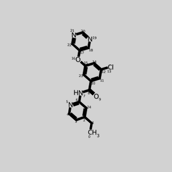 CCc1ccnc(NC(=O)c2cc(Cl)cc(Oc3cncnc3)c2)c1